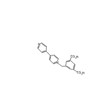 O=C(O)c1cc(C[n+]2ccc(-c3ccncc3)cc2)cc(C(=O)O)c1